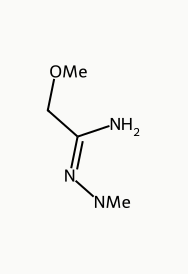 CN/N=C(\N)COC